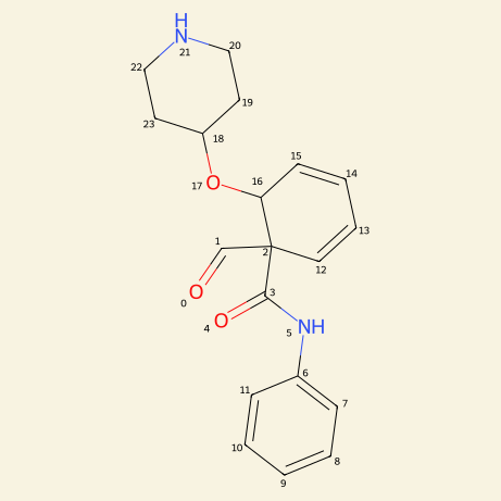 O=CC1(C(=O)Nc2ccccc2)C=CC=CC1OC1CCNCC1